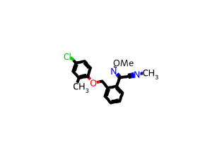 C[N+]#CC(=NOC)c1ccccc1COc1ccc(Cl)cc1C